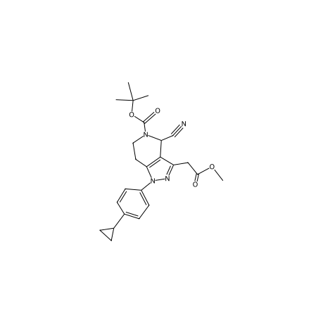 COC(=O)Cc1nn(-c2ccc(C3CC3)cc2)c2c1C(C#N)N(C(=O)OC(C)(C)C)CC2